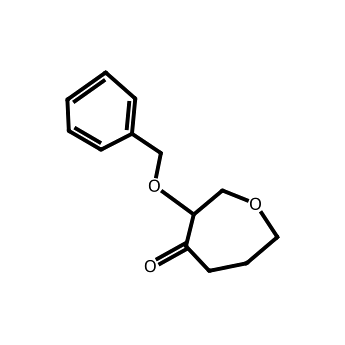 O=C1CCCOCC1OCc1ccccc1